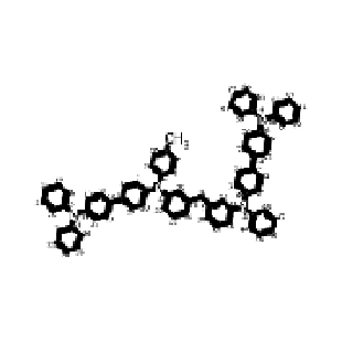 Cc1ccc(N(c2ccc(-c3ccc(N(c4ccccc4)c4ccccc4)cc3)cc2)c2cccc(Cc3cccc(N(c4ccccc4)c4ccc(-c5ccc(N(c6ccccc6)c6ccccc6)cc5)cc4)c3)c2)cc1